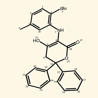 Cc1ccc(C(C)(C)C)c(NC2=C(O)CC(c3ccccc3)(c3ccccc3)OC2=O)c1